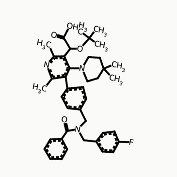 Cc1nc(C)c(C(OC(C)(C)C)C(=O)O)c(N2CCC(C)(C)CC2)c1-c1ccc(CN(Cc2ccc(F)cc2)C(=O)c2ccccc2)cc1